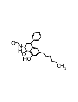 CCCCCCc1cc(O)c2c(c1)C(c1ccccc1)CC(NC=O)C2=O